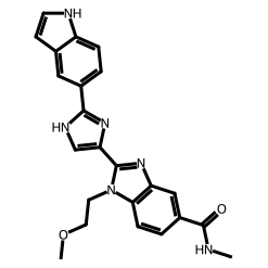 CNC(=O)c1ccc2c(c1)nc(-c1c[nH]c(-c3ccc4[nH]ccc4c3)n1)n2CCOC